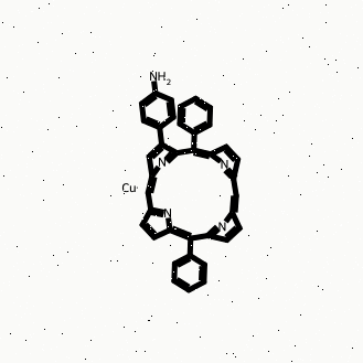 Nc1ccc(C2=CC3=CC4=NC(=C(c5ccccc5)C5=NC(=CC6=NC(=C(c7ccccc7)C2=N3)C=C6)C=C5)C=C4)cc1.[Cu]